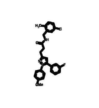 COc1ccc(-n2nc(CCC(=O)NCc3cc(Cl)ccc3C)cc2-c2cccc(F)c2)cc1